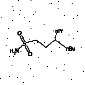 CCCCC(CCC)CCS(N)(=O)=O